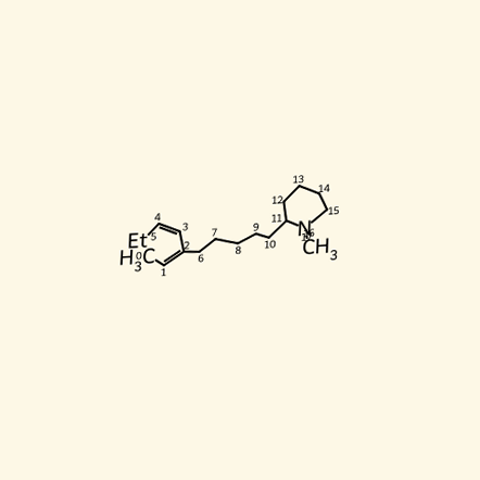 C/C=C(\C=C/CC)CCCCCC1CCCCN1C